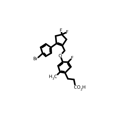 Cc1cc(OCC2=C(c3ccc(Br)cc3)CC(F)(F)C2)c(F)cc1CCC(=O)O